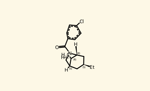 CC[C@H]1C[C@@H]2CN(C(=O)c3ccc(Cl)cc3)[C@H](C1)[C@@H]2C